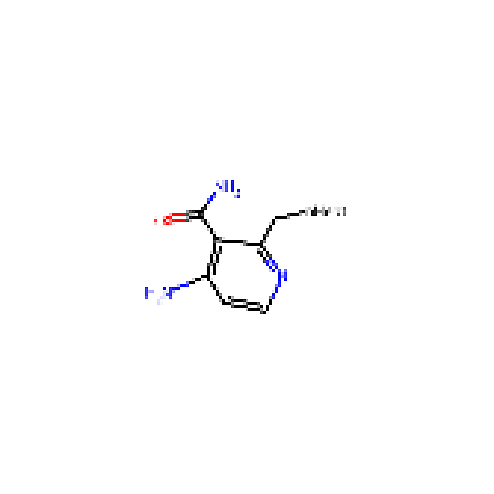 CCCCCCCCc1nccc(N)c1C(N)=O